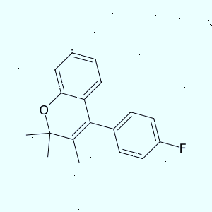 CC1=C(c2ccc(F)cc2)c2cc[c]cc2OC1(C)C